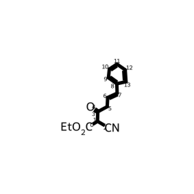 CCOC(=O)C(C#N)C(=O)CC=Cc1ccccc1